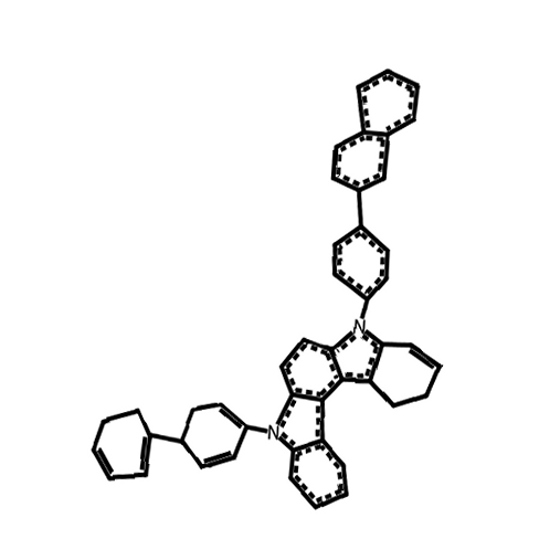 C1=CCCC(C2C=CC(n3c4ccccc4c4c5c6c(n(-c7ccc(-c8ccc9ccccc9c8)cc7)c5ccc43)C=CCC6)=CC2)=C1